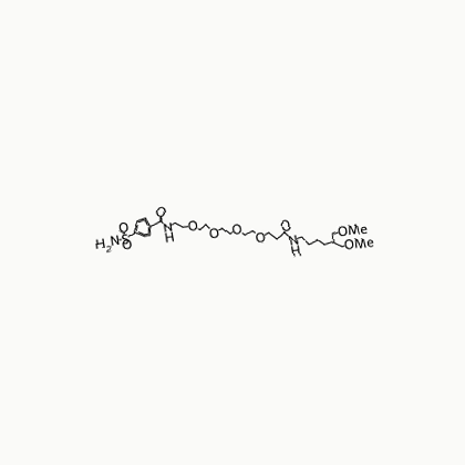 COCC(CCCCNC(=O)CCOCCOCCOCCOCCNC(=O)c1ccc(S(N)(=O)=O)cc1)COC